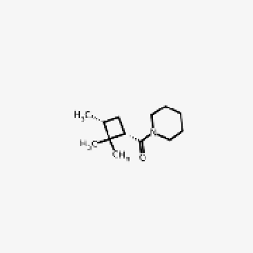 C[C@@H]1C[C@H](C(=O)N2CCCCC2)C1(C)C